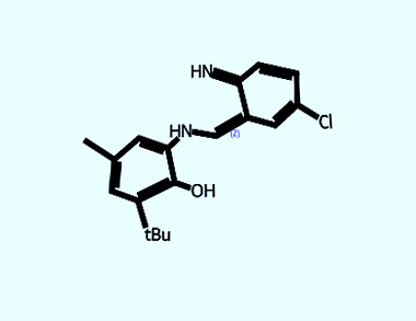 Cc1cc(N/C=C2/C=C(Cl)C=CC2=N)c(O)c(C(C)(C)C)c1